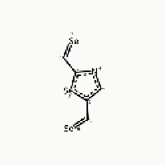 [Se]=Cc1cnc(C=[Se])[se]1